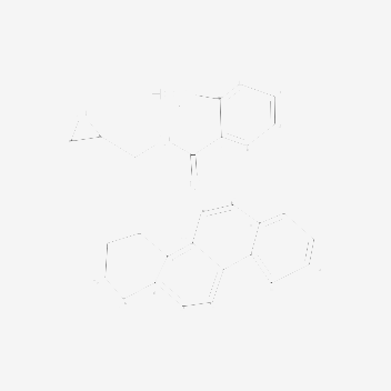 O=C(O)c1ccccc1C(=O)OCC1CO1.c1ccc2c(c1)ccc1c3c(ccc12)CCCC3